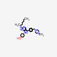 CCCCC[C@H](C)Nc1ncc2c(-c3ccc(CN4CCN(C)CC4)cc3)nn([C@H]3CC[C@H](O)CC3)c2n1